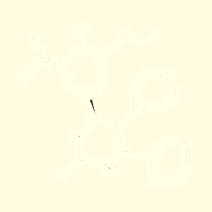 CCOc1cc([C@@H]2NC(=O)NC(c3ccccc3)=C2c2ccccc2)cc([N+](=O)[O-])c1O